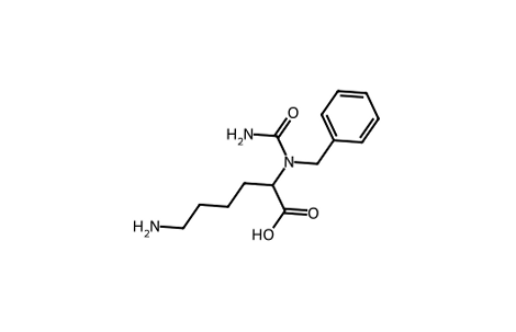 NCCCCC(C(=O)O)N(Cc1ccccc1)C(N)=O